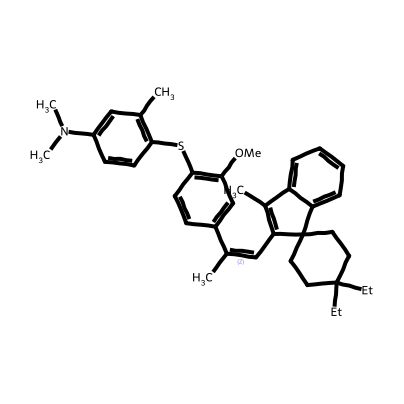 CCC1(CC)CCC2(CC1)C(/C=C(/C)c1ccc(Sc3ccc(N(C)C)cc3C)c(OC)c1)=C(C)c1ccccc12